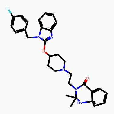 CC1(C)Nc2ccccc2C(=O)N1CCN1CCC(Oc2nc3ccccc3n2Cc2ccc(F)cc2)CC1